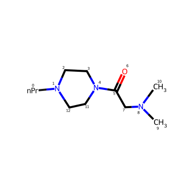 CCCN1CCN(C(=O)CN(C)C)CC1